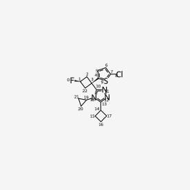 F[C@H]1C[C@](c2ccc(Cl)s2)(c2nnc(C3CCC3)n2C2CC2)C1